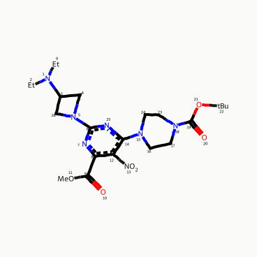 CCN(CC)C1CN(c2nc(C(=O)OC)c([N+](=O)[O-])c(N3CCN(C(=O)OC(C)(C)C)CC3)n2)C1